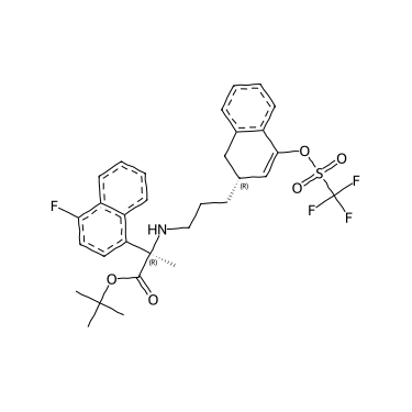 CC(C)(C)OC(=O)[C@](C)(NCCC[C@H]1C=C(OS(=O)(=O)C(F)(F)F)c2ccccc2C1)c1ccc(F)c2ccccc12